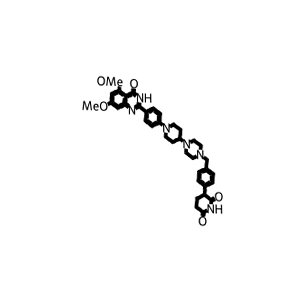 COc1cc(OC)c2c(=O)[nH]c(-c3ccc(N4CCC(N5CCN(Cc6ccc(C7CCC(=O)NC7=O)cc6)CC5)CC4)cc3)nc2c1